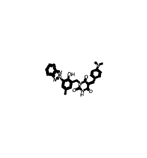 Cc1cc(CN2C(=O)NC(=O)C(=Cc3ccc(N(C)C)cc3)C2=O)c(O)c(-n2nc3ccccc3n2)c1